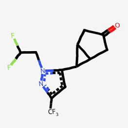 O=C1CC2C(C1)C2c1cc(C(F)(F)F)nn1CC(F)F